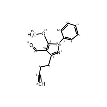 C#CCCc1nn(-c2ccccc2)c(OC)c1C=O